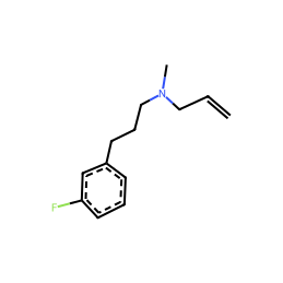 C=CCN(C)CCCc1cccc(F)c1